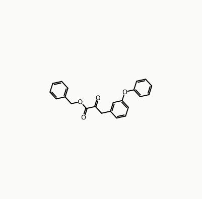 O=C(Cc1cccc(Oc2ccccc2)c1)C(=O)OCc1ccccc1